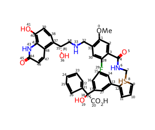 COc1cc(C(=O)NC[SH]2C=CC=C2c2cccc([C@](O)(C(=O)O)c3ccccc3)c2)c(F)cc1CNC[C@H](O)c1ccc(O)c2[nH]c(=O)ccc12